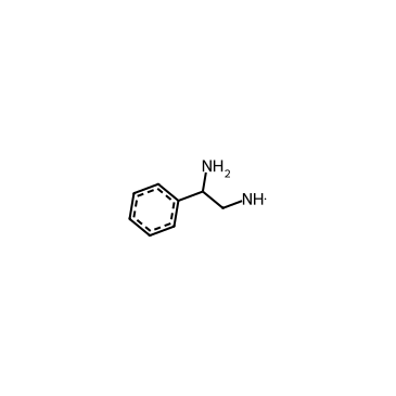 [NH]CC(N)c1ccccc1